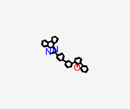 C1=Cc2c(c3ccccc3c3ncc(-c4ccc(-c5cccc(-c6cccc7c6oc6ccccc67)c5)cc4)nc23)CC1